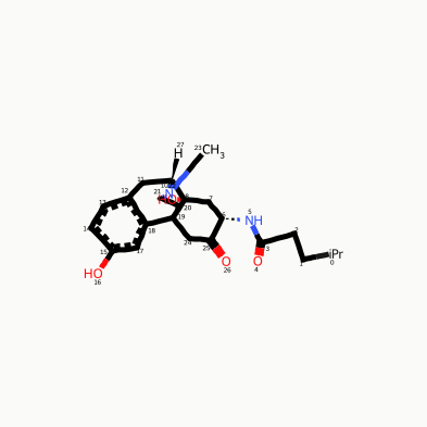 CC(C)CCC(=O)N[C@H]1C[C@@]2(O)[C@H]3Cc4ccc(O)cc4[C@@]2(CCN3C)CC1=O